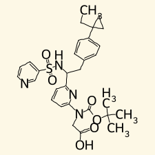 CCC1(c2ccc(CC(NS(=O)(=O)c3cccnc3)c3cccc(N(CC(=O)O)C(=O)OC(C)(C)C)n3)cc2)CC1